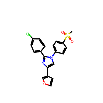 CS(=O)(=O)c1ccc(-n2cc(-c3ccoc3)nc2-c2ccc(Cl)cc2)cc1